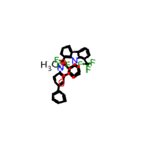 CN(C(=O)c1c(C=O)cccc1-n1c2c(C(F)(F)F)cccc2c2cccc(C(F)(F)F)c21)c1ccc(-c2ccccc2)cc1-c1ccccc1